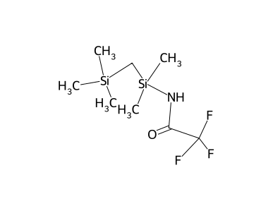 C[Si](C)(C)C[Si](C)(C)NC(=O)C(F)(F)F